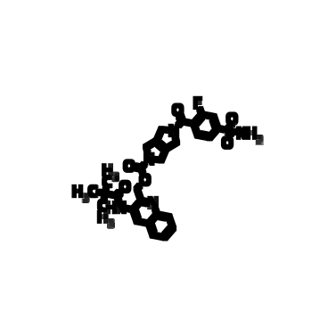 CC(C)(C)C(=O)Nc1cc2ccccc2nc1COC(=O)N1CC2=C(C1)CN(C(=O)c1ccc(S(N)(=O)=O)cc1F)C2